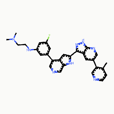 Cc1ccncc1-c1cnc2[nH]nc(-c3cc4c(-c5cc(F)cc(NCCN(C)C)c5)cncc4[nH]3)c2c1